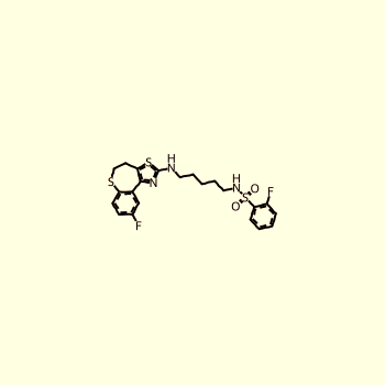 O=S(=O)(NCCCCCNc1nc2c(s1)CCSc1ccc(F)cc1-2)c1ccccc1F